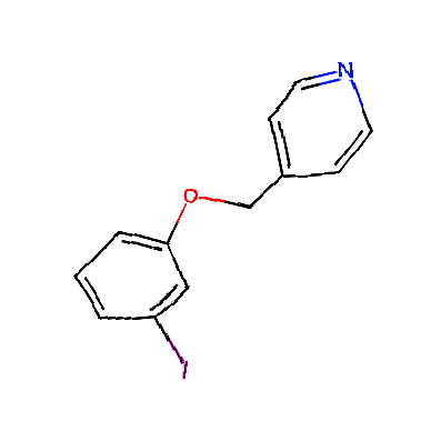 Ic1cccc(OCc2ccncc2)c1